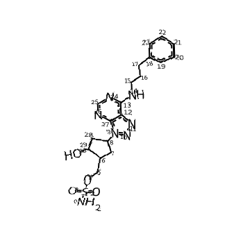 NS(=O)(=O)OCC1CC(n2nnc3c(NCCCc4ccccc4)ncnc32)CC1O